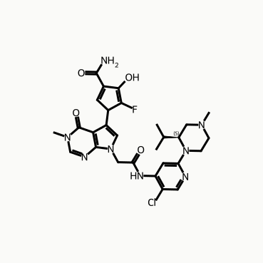 CC(C)[C@H]1CN(C)CCN1c1cc(NC(=O)Cn2cc(C3C=C(C(N)=O)C(O)=C3F)c3c(=O)n(C)cnc32)c(Cl)cn1